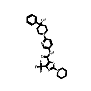 O=C(Nc1ccc(N2CCC(O)(c3ccccc3)CC2)nc1)c1sc(N2CCCCC2)nc1C(F)(F)F